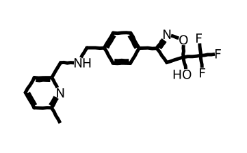 Cc1cccc(CNCc2ccc(C3=NOC(O)(C(F)(F)F)C3)cc2)n1